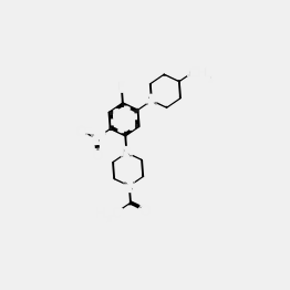 CC(=O)N1CCN(c2cc(N3CCC(C)CC3)c(F)cc2[N+](=O)[O-])CC1